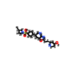 COc1ccnc(/C=C/c2nc3ncc(-c4ccc(S(=O)(=O)n5ccc(C)c5)cc4)cc3o2)c1